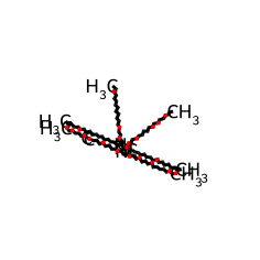 CCCCCCCCCCCCCCCCCC[N](CCCCCCCCCCCCCCCCCC)[Ti]([N](CCCCCCCCCCCCCCCCCC)CCCCCCCCCCCCCCCCCC)[N](CCCCCCCCCCCCCCCCCC)CCCCCCCCCCCCCCCCCC